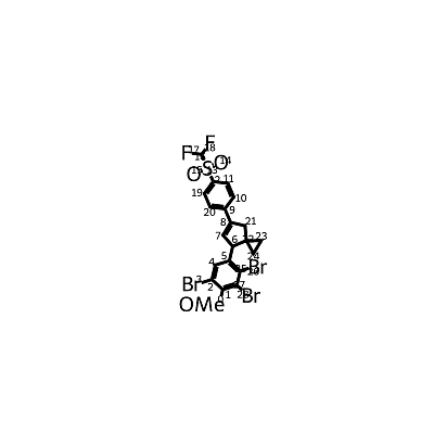 COc1c(Br)cc(C2C=C(c3ccc(S(=O)(=O)C(F)F)cc3)CC23CC3)c(Br)c1Br